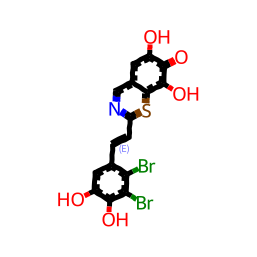 O=c1c(O)cc2cnc(/C=C/c3cc(O)c(O)c(Br)c3Br)sc-2c1O